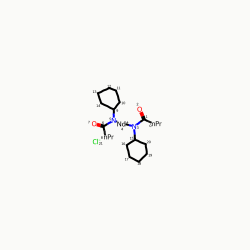 CCCC(=O)[N]([Nd+][N](C(=O)CCC)C1CCCCC1)C1CCCCC1.[Cl-]